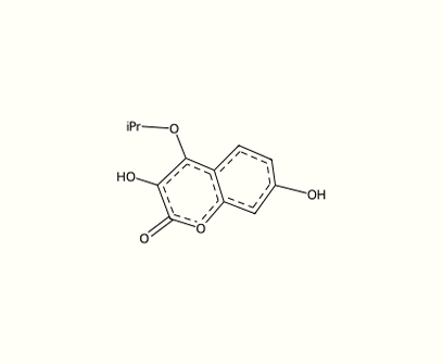 CC(C)Oc1c(O)c(=O)oc2cc(O)ccc12